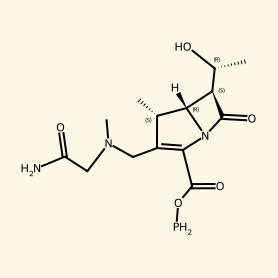 C[C@@H](O)[C@H]1C(=O)N2C(C(=O)OP)=C(CN(C)CC(N)=O)[C@H](C)[C@H]12